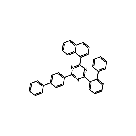 c1ccc(-c2ccc(-c3nc(-c4ccccc4-c4ccccc4)nc(-c4cccc5ccccc45)n3)cc2)cc1